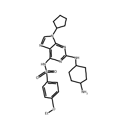 CCOc1ccc(S(=O)(=O)Nc2nc(NC3CCC(N)CC3)nc3c2ncn3C2CCCC2)cc1